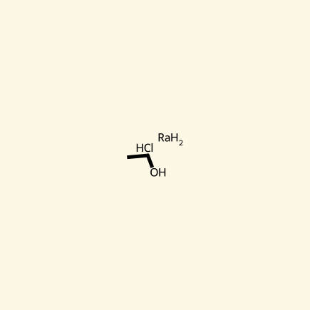 CCO.Cl.[RaH2]